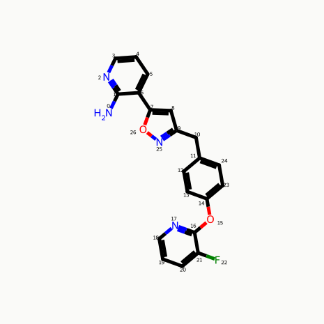 Nc1ncccc1-c1cc(Cc2ccc(Oc3ncccc3F)cc2)no1